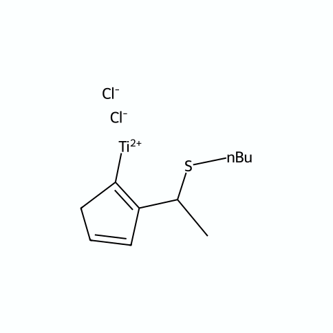 CCCCSC(C)C1=[C]([Ti+2])CC=C1.[Cl-].[Cl-]